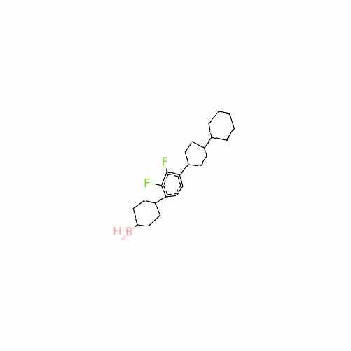 BC1CCC(c2ccc(C3CCC(C4CCCCC4)CC3)c(F)c2F)CC1